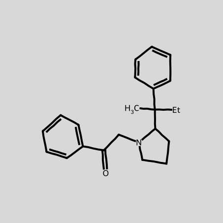 CCC(C)(c1ccccc1)C1CCCN1CC(=O)c1ccccc1